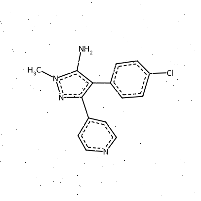 Cn1nc(-c2ccncc2)c(-c2ccc(Cl)cc2)c1N